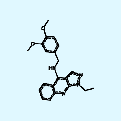 CCn1ncc2c(NCc3ccc(OC)c(OC)c3)c3ccccc3nc21